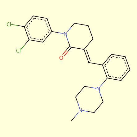 CN1CCN(c2ccccc2C=C2CCCN(c3ccc(Cl)c(Cl)c3)C2=O)CC1